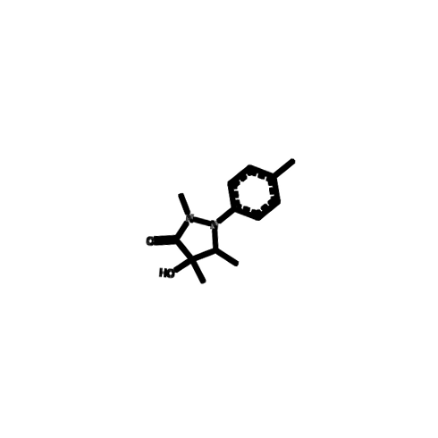 Cc1ccc(N2C(C)C(C)(O)C(=O)N2C)cc1